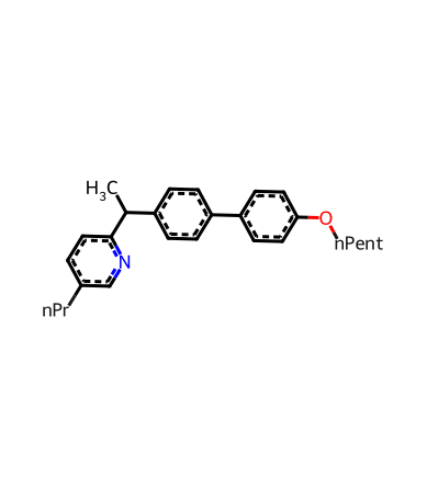 CCCCCOc1ccc(-c2ccc(C(C)c3ccc(CCC)cn3)cc2)cc1